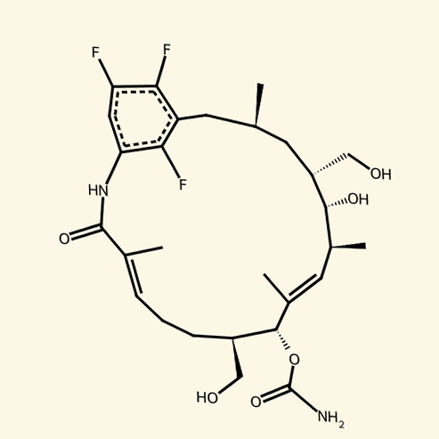 C/C1=C\CC[C@H](CO)[C@@H](OC(N)=O)/C(C)=C/[C@H](C)[C@@H](O)[C@@H](CO)C[C@H](C)Cc2c(F)c(F)cc(c2F)NC1=O